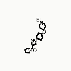 CCN1CCC(Oc2ccc(-n3cc(C(=O)N4CCCC4)cn3)cc2)CC1